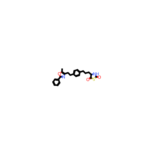 Cc1oc(-c2ccccc2)nc1CCc1ccc(CCCC2NC(=O)SC2=O)cc1